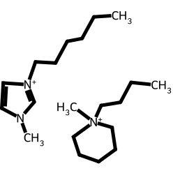 CCCCCC[n+]1ccn(C)c1.CCCC[N+]1(C)CCCCC1